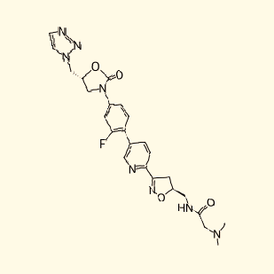 CN(C)CC(=O)NC[C@@H]1CC(c2ccc(-c3ccc(N4C[C@H](Cn5ccnn5)OC4=O)cc3F)cn2)=NO1